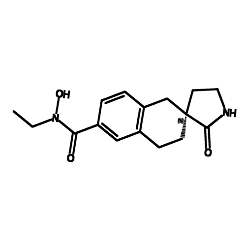 CCN(O)C(=O)c1ccc2c(c1)CC[C@@]1(CCNC1=O)C2